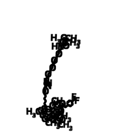 COC(=O)[C@@]1(OCCCCCCOCc2cn(CCOCCOCCOCCOCCNC(=O)OC(C)(C)C)nn2)C[C@H](OC(C)=O)[C@@H](NC(=O)COC(C)=O)[C@H]([C@H](OC(C)=O)[C@@H](CNC(=O)Cc2ccc(C(F)F)cc2)OC(C)=O)O1